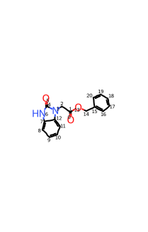 O=C(Cn1c(=O)[nH]c2ccccc21)OCc1ccccc1